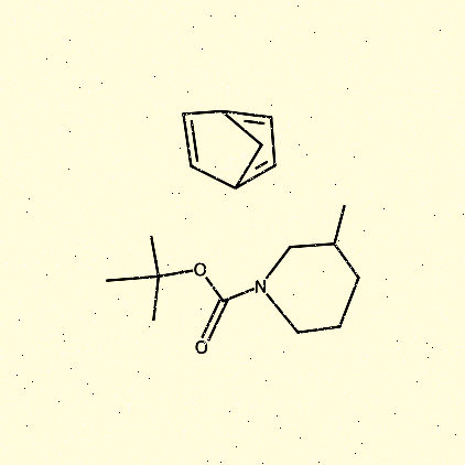 C1=CC2=CC=C1C2.CC1CCCN(C(=O)OC(C)(C)C)C1